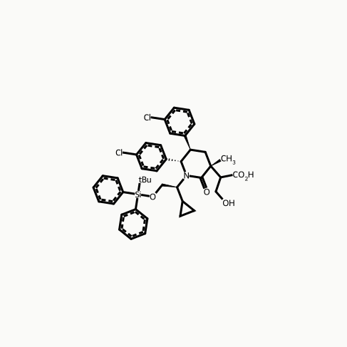 CC(C)(C)[Si](OC[C@H](C1CC1)N1C(=O)[C@@](C)(C(CO)C(=O)O)C[C@H](c2cccc(Cl)c2)[C@H]1c1ccc(Cl)cc1)(c1ccccc1)c1ccccc1